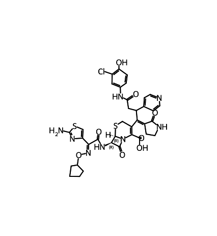 Nc1nc(C(=NOC2CCCC2)C(=O)N[C@@H]2C(=O)N3C(C(=O)O)=C(C(=C4CCNC4=O)C(CC(=O)Nc4ccc(O)c(Cl)c4)c4ccncc4)CS[C@H]23)cs1